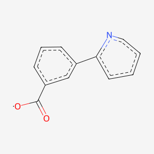 [O]C(=O)c1cccc(-c2ccccn2)c1